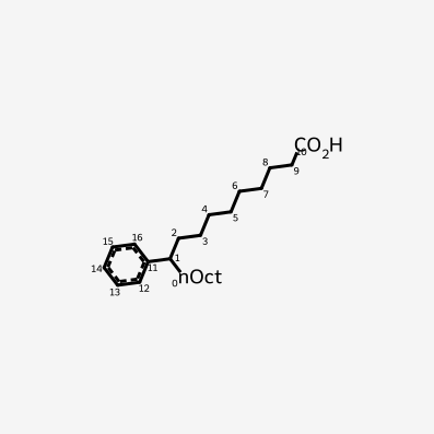 CCCCCCCCC(CCCCCCCCC(=O)O)c1ccccc1